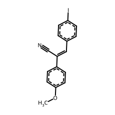 COc1ccc(C(C#N)=Cc2ccc(I)cc2)cc1